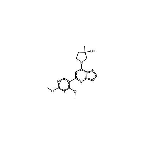 COc1ncc(-c2cc(N3CCC(C)(O)C3)n3nccc3n2)c(OC)n1